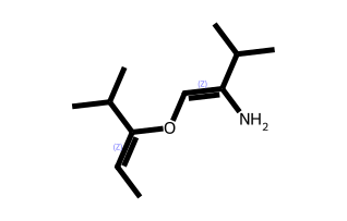 C/C=C(\O/C=C(\N)C(C)C)C(C)C